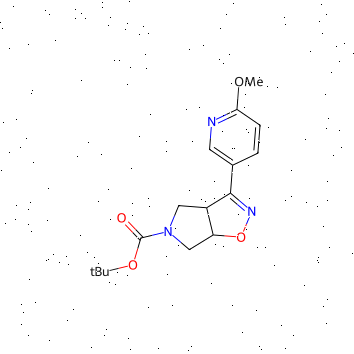 COc1ccc(C2=NOC3CN(C(=O)OC(C)(C)C)CC23)cn1